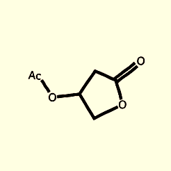 CC(=O)OC1COC(=O)C1